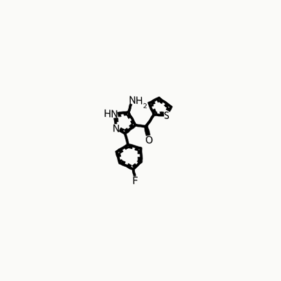 Nc1[nH]nc(-c2ccc(F)cc2)c1C(=O)c1cccs1